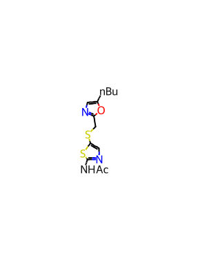 CCCCc1cnc(CSc2cnc(NC(C)=O)s2)o1